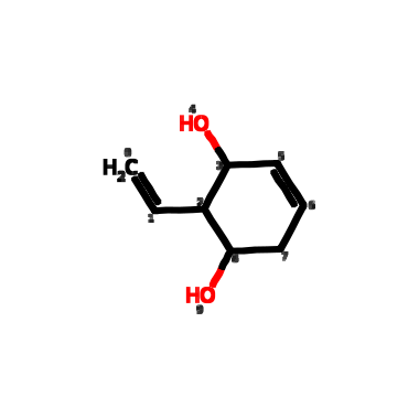 C=CC1C(O)C=CCC1O